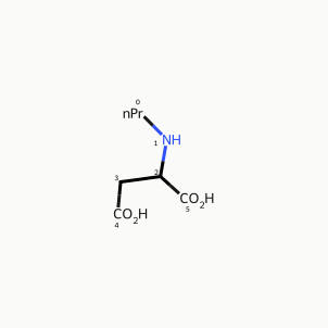 CCCNC(CC(=O)O)C(=O)O